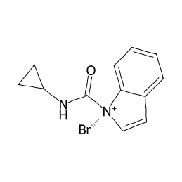 O=C(NC1CC1)[N@+]1(Br)C=Cc2ccccc21